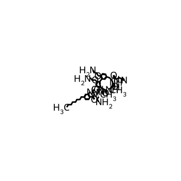 CCCCCCCCc1ccc2c(=O)n([C@@H](CCN)C(=O)N(C)[C@@H]3C(=O)N[C@@H](C)C(=O)N[C@H](C(=O)NCC#N)Cc4ccc(OCCN)c(c4)-c4cc3ccc4OCCN)c(C)nc2c1